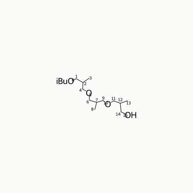 CC(C)COCC(C)COCC(C)COCC(C)CO